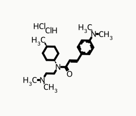 CN(C)CCN(C(=O)/C=C/c1ccc(N(C)C)cc1)[C@H]1CC[C@H](C)CC1.Cl.Cl